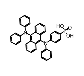 O=P(O)(O)c1ccc(N(c2ccccc2)c2c3ccccc3c(N(c3ccccc3)c3ccccc3)c3ccccc23)cc1